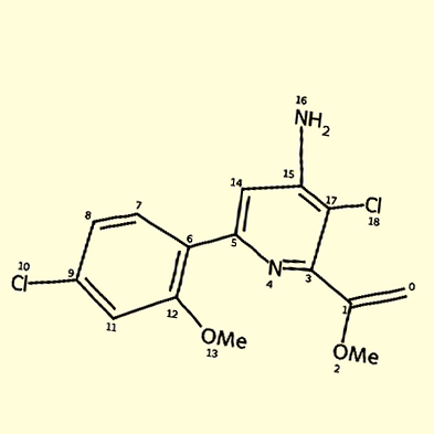 C=C(OC)c1nc(-c2ccc(Cl)cc2OC)cc(N)c1Cl